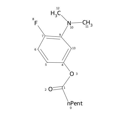 CCCCCC(=O)Oc1ccc(F)c(N(C)C)c1